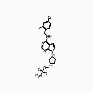 Cc1cc(Cl)ccc1CNc1ncnc2c1ccn2[C@H]1CC[C@H](COS(N)(=O)=O)C1